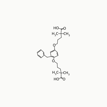 CC(C)(CCCOc1ccc(OCCCC(C)(C)C(=O)O)c(Cc2ccccc2)c1)C(=O)O